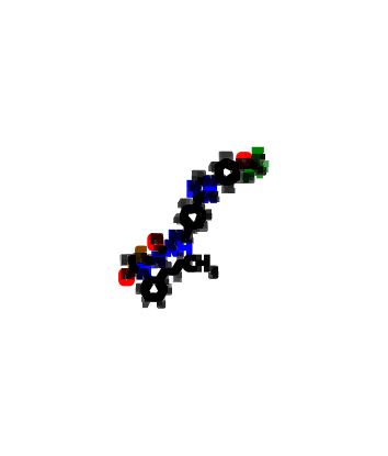 CCCCc1ccccc1N1C(=O)CS/C1=N\C(=O)N/N=C/c1ccc(-c2ncn(-c3ccc(OC(F)(F)F)cc3)n2)cc1